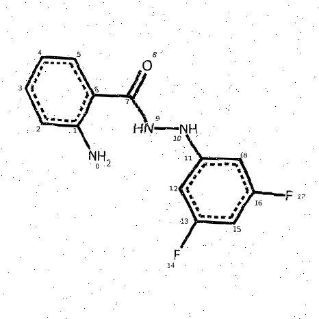 Nc1ccccc1C(=O)NNc1cc(F)cc(F)c1